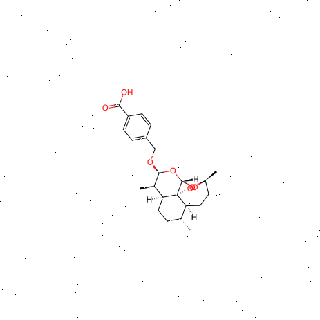 C[C@H]1[C@@H](OCc2ccc(C(=O)O)cc2)O[C@@H]2O[C@@]3(C)CC[C@H]4[C@H](C)CC[C@@H]1[C@@]24OO3